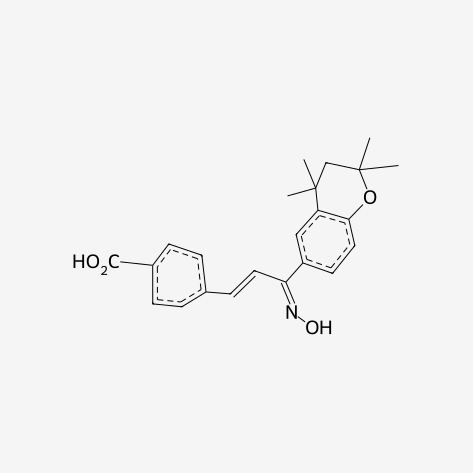 CC1(C)CC(C)(C)c2cc(C(/C=C/c3ccc(C(=O)O)cc3)=N\O)ccc2O1